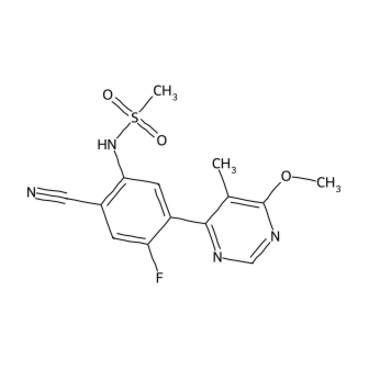 COc1ncnc(-c2cc(NS(C)(=O)=O)c(C#N)cc2F)c1C